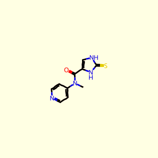 CN(C(=O)c1c[nH]c(=S)[nH]1)c1ccncc1